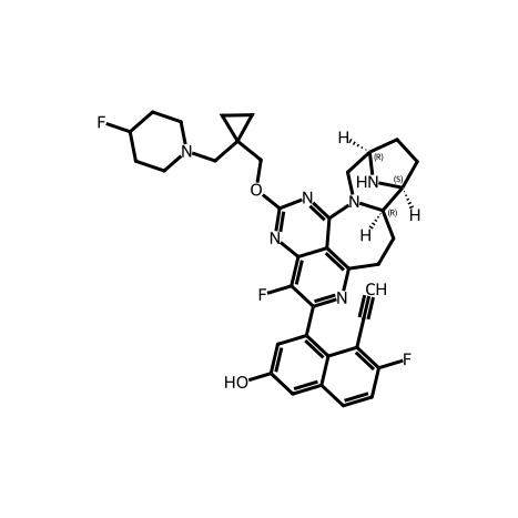 C#Cc1c(F)ccc2cc(O)cc(-c3nc4c5c(nc(OCC6(CN7CCC(F)CC7)CC6)nc5c3F)N3C[C@H]5CC[C@H](N5)[C@H]3CC4)c12